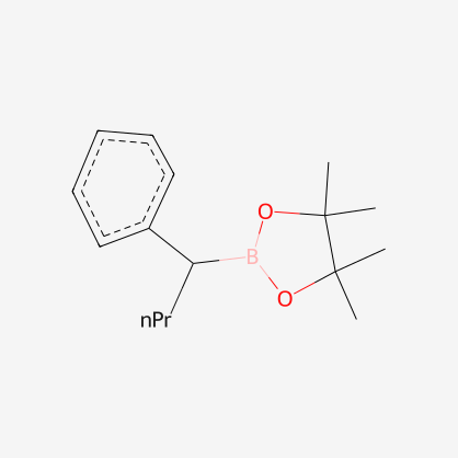 CCCC(B1OC(C)(C)C(C)(C)O1)c1ccccc1